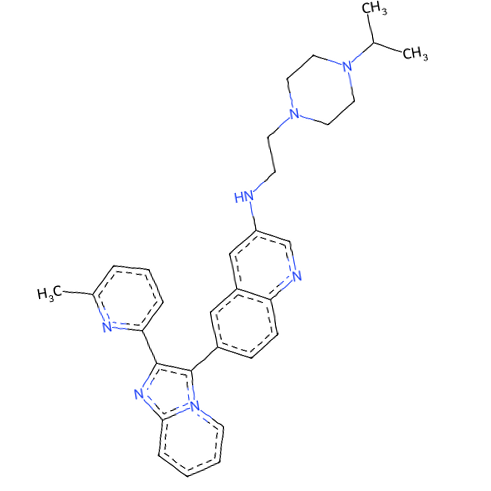 Cc1cccc(-c2nc3ccccn3c2-c2ccc3ncc(NCCN4CCN(C(C)C)CC4)cc3c2)n1